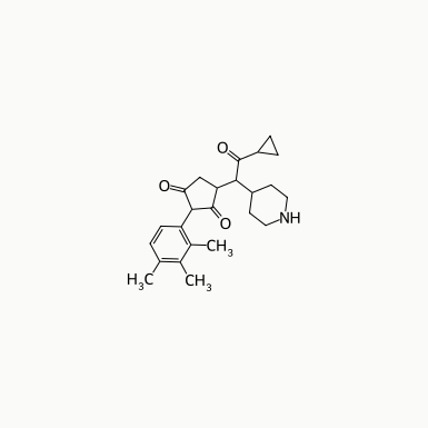 Cc1ccc(C2C(=O)CC(C(C(=O)C3CC3)C3CCNCC3)C2=O)c(C)c1C